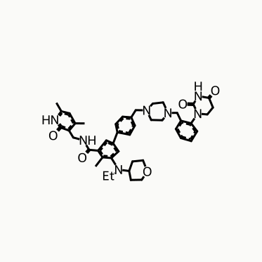 CCN(c1cc(-c2ccc(CN3CCN(Cc4ccccc4N4CCC(=O)NC4=O)CC3)cc2)cc(C(=O)NCc2c(C)cc(C)[nH]c2=O)c1C)C1CCOCC1